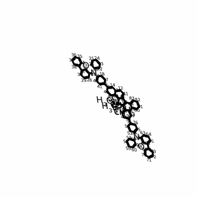 C[Si](C)(C)C1([Si](C)(C)C)c2c(ccc3cc(-c4ccc(N(c5ccccc5)c5cccc6c5oc5ccccc56)cc4)ccc23)-c2c1c1ccc(-c3ccc(N(c4ccccc4)c4cccc5c4oc4ccccc45)cc3)cc1c1ccccc21